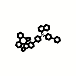 c1ccc(-c2ccc(N(c3ccc(-c4ccc5c(c4)C4(c6ccccc6-c6ccccc6-c6ccccc64)c4ccccc4-5)cc3)c3cccc4ccccc34)cc2)cc1